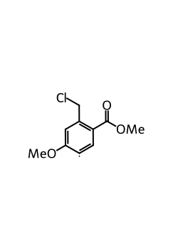 COC(=O)c1c[c]c(OC)cc1CCl